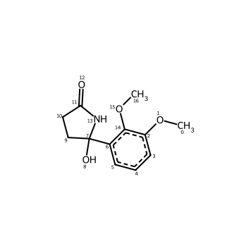 COc1cccc(C2(O)CCC(=O)N2)c1OC